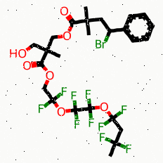 CC(F)(F)CC(F)(F)OC(F)(F)C(F)(F)OC(F)(F)COC(=O)C(C)(CO)COC(=O)C(C)(C)CC(Br)c1ccccc1